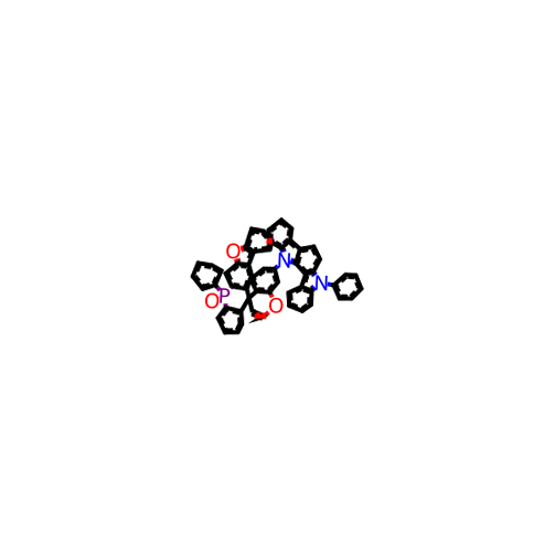 O=P1(c2ccccc2)c2ccccc2C2(c3ccccc3Oc3cc(-n4c5ccccc5c5ccc6c(c7ccccc7n6-c6ccccc6)c54)ccc32)c2cc3c(cc21)oc1ccccc13